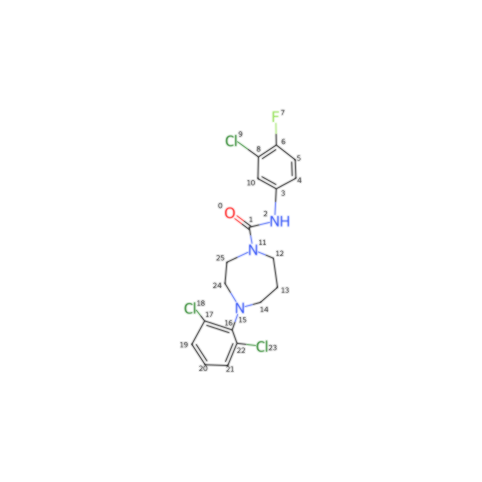 O=C(Nc1ccc(F)c(Cl)c1)N1CCCN(c2c(Cl)cccc2Cl)CC1